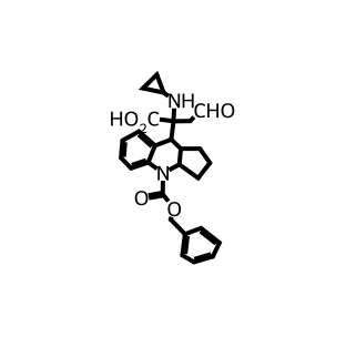 O=CCC(NC1CC1)(C(=O)O)C1c2ccccc2N(C(=O)OCc2ccccc2)C2CCCC21